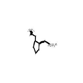 C=CCC1CCC/C1=C\C(=O)O